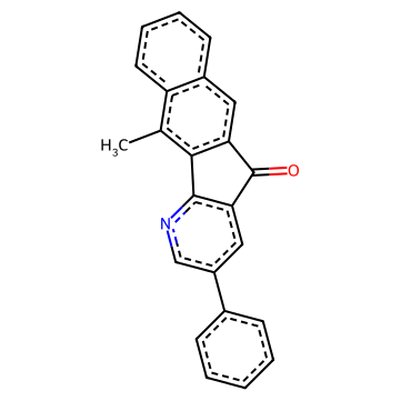 Cc1c2c(cc3ccccc13)C(=O)c1cc(-c3ccccc3)cnc1-2